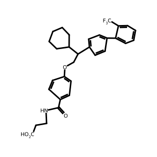 O=C(O)CCNC(=O)c1ccc(OCC(c2ccc(-c3ccccc3C(F)(F)F)cc2)C2CCCCC2)cc1